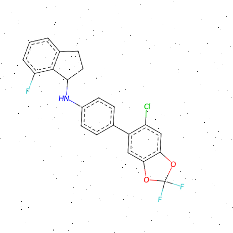 Fc1cccc2c1C(Nc1ccc(-c3cc4c(cc3Cl)OC(F)(F)O4)cc1)CC2